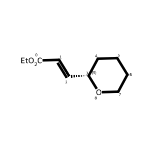 CCOC(=O)C=C[C@@H]1CCCCO1